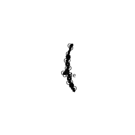 C=CC(=O)Cc1ccc(OC(=O)[C@H]2CC[C@H](C(=O)Oc3ccc(OC(=O)[C@H]4CC[C@H](C(=O)Oc5ccc(OCCCCOC(=O)C=C)cc5)CC4)cc3C(=O)OC)CC2)cc1